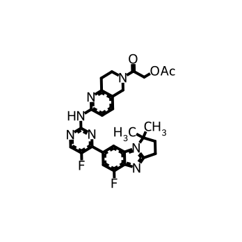 CC(=O)OCC(=O)N1CCc2nc(Nc3ncc(F)c(-c4cc(F)c5nc6n(c5c4)C(C)(C)CC6)n3)ccc2C1